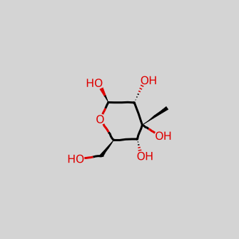 C[C@@]1(O)[C@H](O)[C@@H](CO)O[C@@H](O)[C@@H]1O